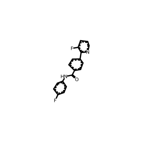 O=C(Nc1ccc(F)cc1)c1ccc(-c2ncccc2F)cc1